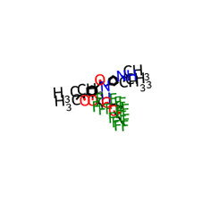 CC(C)(C)Nc1ccc(NC(=O)c2ccc(C(=O)C(C)(C)C)c(OC(F)(F)C(F)OC(F)(F)C(F)(OC(F)(F)C(F)(F)C(F)(F)F)C(F)(F)F)c2)cc1